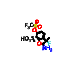 CC(F)(C(N)=O)c1ccc(OS(=O)(=O)C(F)(F)F)cc1.CS(=O)(=O)O